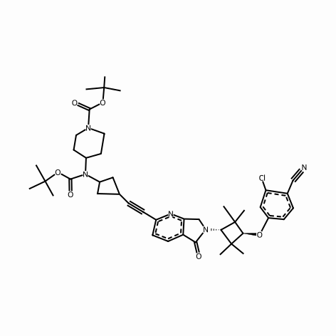 CC(C)(C)OC(=O)N1CCC(N(C(=O)OC(C)(C)C)C2CC(C#Cc3ccc4c(n3)CN([C@H]3C(C)(C)[C@H](Oc5ccc(C#N)c(Cl)c5)C3(C)C)C4=O)C2)CC1